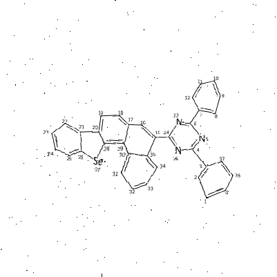 c1ccc(-c2nc(-c3ccccc3)nc(-c3cc4ccc5c6ccccc6[se]c5c4c4ccccc34)n2)cc1